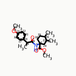 COC(=O)C1(NC(=O)C(C)c2ccc(OC)cc2)CCC(C)C(C)C1